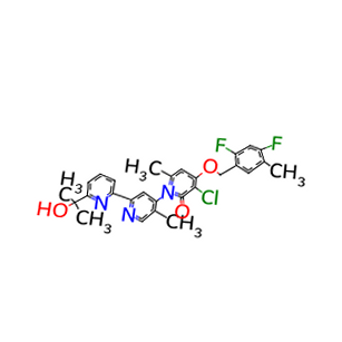 Cc1cc(COc2cc(C)n(-c3cc(-c4cccc(C(C)(C)O)n4)ncc3C)c(=O)c2Cl)c(F)cc1F